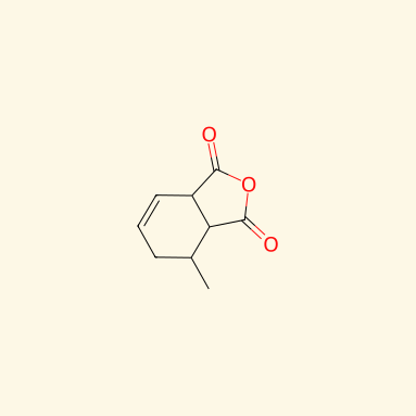 CC1CC=CC2C(=O)OC(=O)C12